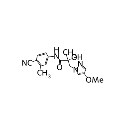 COc1cnn(CC(C)(O)C(=O)Nc2ccc(C#N)c(C)c2)c1